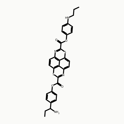 CCCNc1ccc(OC(=O)C2=Nc3ccc4c5c(ccc(c35)S2)N=C(C(=O)Oc2ccc(C(N)CC)cc2)S4)cc1